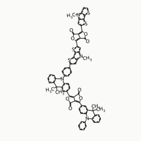 Cn1c2ccsc2c2sc(C3=C4C(=O)OC(c5cc6c(s5)c5sc(-c7ccc(N8c9ccccc9C(C)(C)c9cc(C%10=C%11C(=O)OC(c%12ccc%13c(c%12)C(C)(C)c%12ccccc%12N%13c%12ccccc%12)=C%11C(=O)O%10)ccc98)cc7)cc5n6C)=C4C(=O)O3)cc21